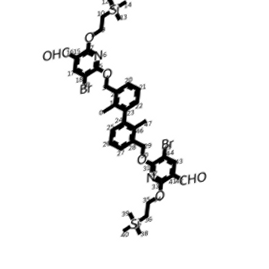 Cc1c(COc2nc(OCC[Si](C)(C)C)c(C=O)cc2Br)cccc1-c1cccc(COc2nc(OCC[Si](C)(C)C)c(C=O)cc2Br)c1C